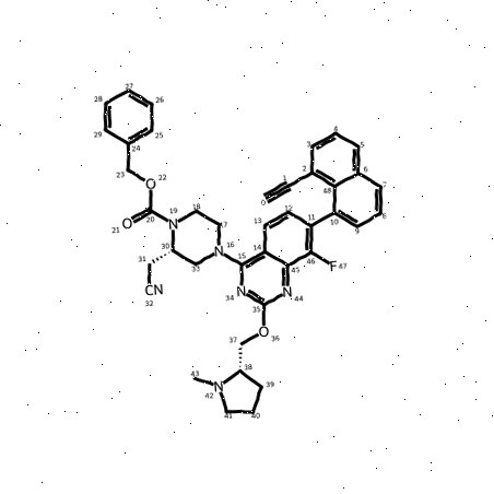 C#Cc1cccc2cccc(-c3ccc4c(N5CCN(C(=O)OCc6ccccc6)[C@@H](CC#N)C5)nc(OC[C@@H]5CCCN5C)nc4c3F)c12